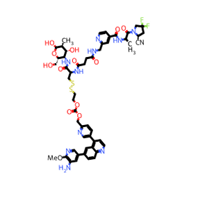 COc1ncc(-c2ccc3nccc(-c4ccc(COC(=O)OCCSSCC(NC(=O)CCC(=O)NCc5cc(C(=O)NC(C)C(=O)N6CC(F)(F)C[C@H]6C#N)ccn5)C(=O)N[C@@H]5[C@@H](O)[C@H](C)C(O)O[C@H]5CO)nc4)c3c2)cc1N